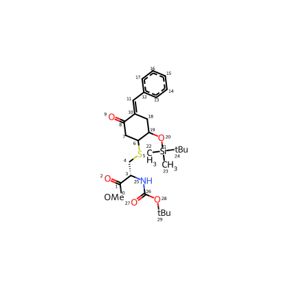 COC(=O)[C@H](CSC1CC(=O)/C(=C/c2ccccc2)CC1O[Si](C)(C)C(C)(C)C)NC(=O)OC(C)(C)C